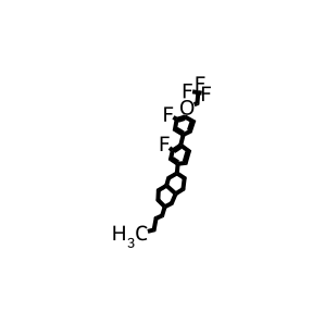 CCCCC1CCC2CC(c3ccc(-c4ccc(OCC(F)(F)F)c(F)c4)c(F)c3)CCC2C1